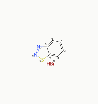 Br.c1ccc2snnc2c1